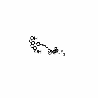 CN(CC(F)(F)C(F)(F)C(F)(F)F)C(=O)CCCCCC#Cc1ccc([C@H]2C[C@@]3(C)C(CC[C@@H]3O)C3CCc4cc(O)ccc4C32)cc1